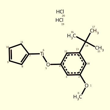 COc1cc([O][Ti][C]2=CC=CC2)cc(C(C)(C)C)c1.Cl.Cl